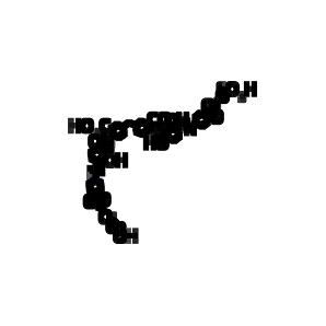 O=C(O)c1cc(Cc2ccc(/N=N/c3c(O)ccc(/N=N/c4ccc(S(=O)(=O)CCOS(=O)(=O)O)cc4)c3O)c(C(=O)O)c2)ccc1/N=N/c1c(O)ccc(/N=N/c2ccc(S(=O)(=O)CCOSOOO)cc2)c1O